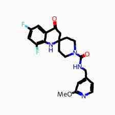 COc1cc(CNC(=O)N2CCC3(CC2)CC(=O)c2cc(F)cc(F)c2N3)ccn1